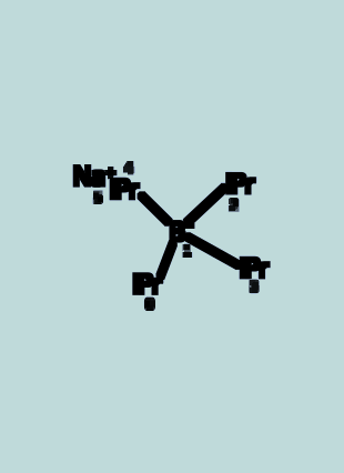 CC(C)[B-](C(C)C)(C(C)C)C(C)C.[Na+]